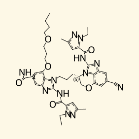 CCCCOCCCOc1cc(C(N)=O)cc2nc(NC(=O)c3cc(C)nn3CC)n(CCC[C@H]3COc4cc(C#N)cc5nc(NC(=O)c6cc(C)nn6CC)n3c45)c12